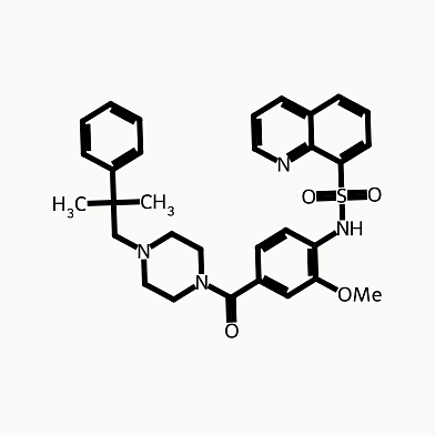 COc1cc(C(=O)N2CCN(CC(C)(C)c3ccccc3)CC2)ccc1NS(=O)(=O)c1cccc2cccnc12